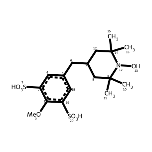 COc1c(S(=O)(=O)O)cc(CC2CC(C)(C)N(O)C(C)(C)C2)cc1S(=O)(=O)O